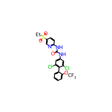 CCS(=O)(=O)c1ccc(NC(=O)Nc2cc(Cl)c(-c3ccccc3OC(F)(F)F)c(Cl)c2)nc1